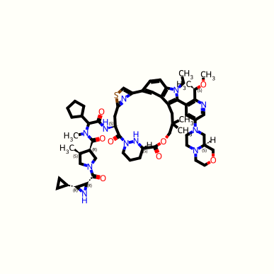 CCn1c(-c2cc(N3CCN4CCOC[C@@H]4C3)cnc2[C@H](C)OC)c2c3cc(ccc31)-c1csc(n1)C[C@H](NC(=O)C(C1CCCC1)N(C)C(=O)[C@H]1CN(C(=O)[C@@H]3N[C@@H]3C3CC3)C[C@H]1C)C(=O)N1CCC[C@H](N1)C(=O)OCC(C)(C)C2